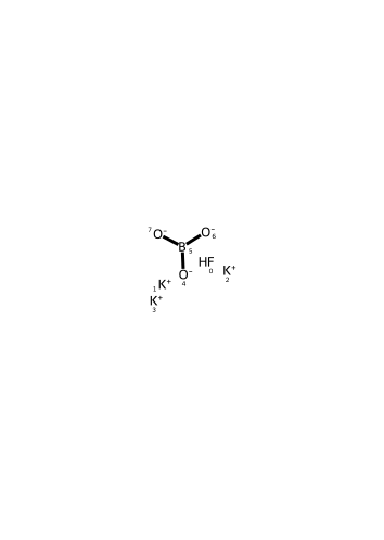 F.[K+].[K+].[K+].[O-]B([O-])[O-]